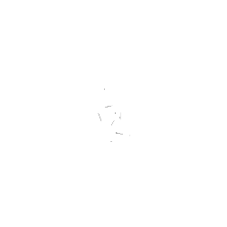 Cc1nc(C(=O)C(C)(C)C)ccc1CC(C)(C)C